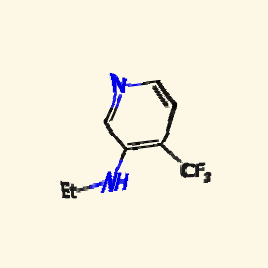 CCNc1cnccc1C(F)(F)F